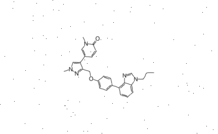 CCCn1cnc2c(-c3ccc(OCc4nn(C)cc4-c4ccc(=O)n(C)c4)cc3)cccc21